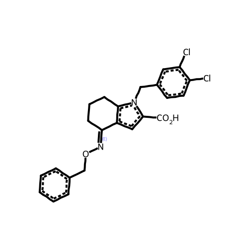 O=C(O)c1cc2c(n1Cc1ccc(Cl)c(Cl)c1)CCC/C2=N\OCc1ccccc1